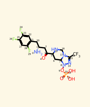 N[C@@H](CC(=O)C1CC2N(OP(=O)(O)O)N=C(C(F)(F)F)N2CN1)Cc1cc(F)c(F)cc1F